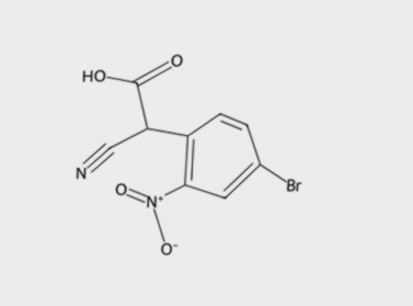 N#CC(C(=O)O)c1ccc(Br)cc1[N+](=O)[O-]